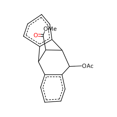 COC(=O)C1C2c3ccccc3C(OC(C)=O)C1c1ccccc12